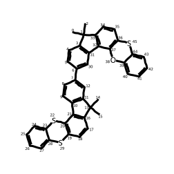 CC1(C)c2ccc(-c3ccc4c(c3)C(C)(C)c3ccc5c(c3-4)Sc3ccccc3S5)cc2-c2c1ccc1c2Oc2ccccc2S1